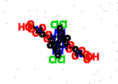 N#C/C(c1cnc2cc(Cl)c(Cl)cc2n1)=c1\c2c(-c3ccc(OC(=O)c4ccc5c(c4)C(=O)N(CCCS(=O)(=O)O)C5=O)cc3)n(B(c3ccccc3)c3ccccc3)/c(=C(/C#N)c3cnc4cc(Cl)c(Cl)cc4n3)c2c(-c2ccc(OC(=O)c3ccc4c(c3)C(=O)N(CCCS(=O)(=O)O)C4=O)cc2)n1B(c1ccccc1)c1ccccc1